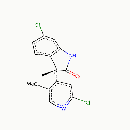 COc1cnc(Cl)cc1[C@@]1(C)C(=O)Nc2cc(Cl)ccc21